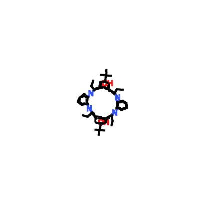 CCc1nc2ccccc2nc(CC)c2cc(C(C)(C)C)cc(c(CC)nc3ccccc3nc(CC)c3cc(C(C)(C)C)cc1c3O)c2O